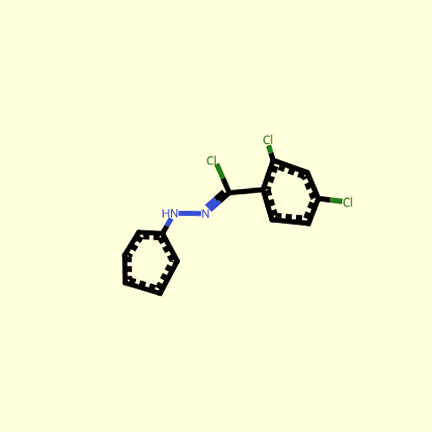 ClC(=NNc1ccccc1)c1ccc(Cl)cc1Cl